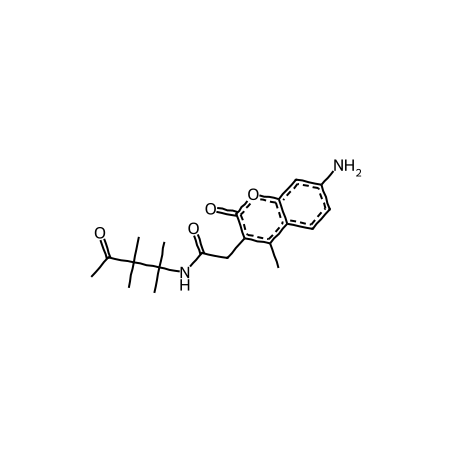 CC(=O)C(C)(C)C(C)(C)NC(=O)Cc1c(C)c2ccc(N)cc2oc1=O